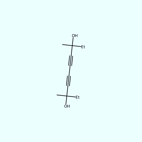 [CH2]CC(C)(O)C#CC#CC(C)(O)CC